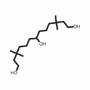 CC(C)(CCO)CCCC(O)CCCC(C)(C)CCO